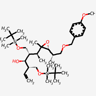 C=C[C@@H](CO[Si](C)(C)C(C)(C)C)[C@@H](O)[C@H](CO[Si](C)(C)C(C)(C)C)[C@H](C)C1(C)O[C@@H]1[C@@H](C)COCc1ccc(OC)cc1